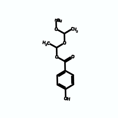 CCCCOC(C)OC(C)OC(=O)c1ccc(O)cc1